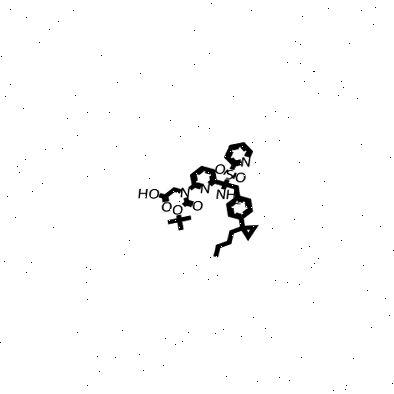 CCCCC1(c2ccc(CC(N)(c3cccc(N(CC(=O)O)C(=O)OC(C)(C)C)n3)S(=O)(=O)c3ccccn3)cc2)CC1